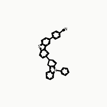 N#Cc1ccc(-c2ccc3sc4ccc(C5C=Cc6c(c7ccccc7n6-c6ccccc6)C5)cc4c3c2)cc1